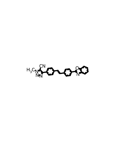 Cn1nnc(-c2ccc(C=Cc3ccc(-c4nc5ccccc5o4)cc3)cc2)c1C#N